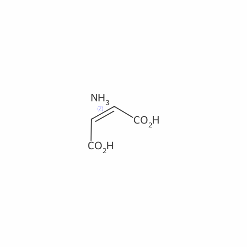 N.O=C(O)/C=C\C(=O)O